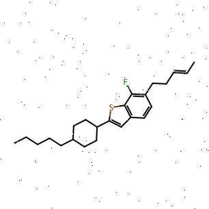 C/C=C/CCc1ccc2cc(C3CCC(CCCCC)CC3)sc2c1F